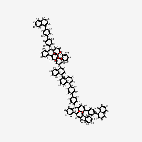 c1cc(-c2ccc(-c3ccc(-c4cccc5c(-c6ccc(-c7ccc(N(c8ccc(-c9ccc(-c%10cccc%11ccccc%10%11)cc9)cc8)c8ccccc8-c8ccc9c(c8)oc8ccccc89)cc7)cc6)cccc45)c4ccccc34)cc2)cc(N(c2ccc(-c3ccc(-c4cccc5ccccc45)cc3)cc2)c2ccccc2-c2ccc3c(c2)oc2ccccc23)c1